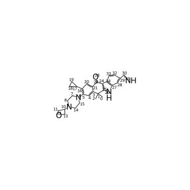 CC1(C)c2cc(N3CCN(C4COC4)CC3)c(C3CC3)cc2C(=O)c2c1[nH]c1cc(C=N)ccc21